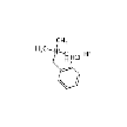 C[N+](C)(C)Cc1ccccc1.Cl.[H+]